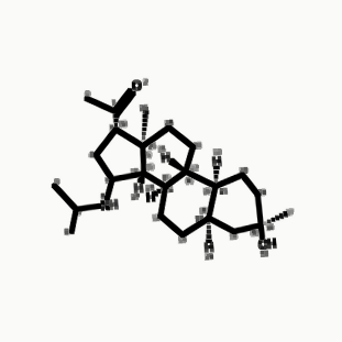 CC(=O)[C@H]1CC(NC(C)C)[C@H]2[C@@H]3CC[C@@H]4C[C@](C)(O)CC[C@@H]4[C@H]3CC[C@]12C